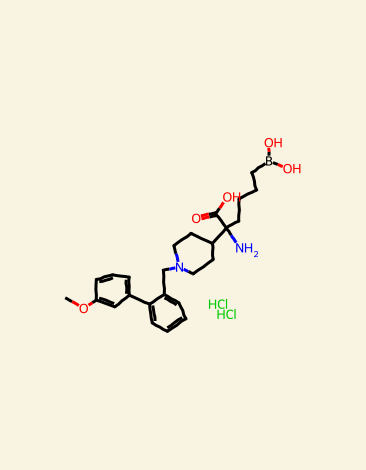 COc1cccc(-c2ccccc2CN2CCC(C(N)(CCCCB(O)O)C(=O)O)CC2)c1.Cl.Cl